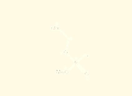 CCCCOP(C)(=O)OC